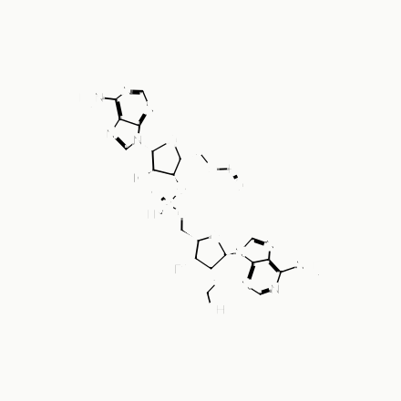 Nc1ncnc2c1ncn2[C@@H]1O[C@H](COP=O)[C@@H](O[P@](=O)(S)OC[C@H]2O[C@@H](n3cnc4c(N)ncnc43)[C@H](CCS)[C@@H]2F)[C@H]1O